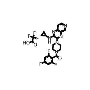 O=C(O)C(F)(F)F.O=C(c1c(F)cc(F)cc1F)N1CCN(c2nc3cnccc3nc2NC2CC2)CC1